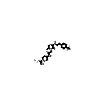 Cc1cnc(NCCc2ccc(C(F)(F)F)cc2)c(=O)n1CC(=O)NC1CCN(C(=N)N)OC1